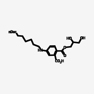 CCCCCCCCCCCCCCCCNc1ccc(C(=O)OCC(O)CO)c(C(=O)O)c1